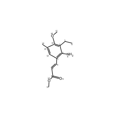 CCc1c(N)c(C=CC(=O)OC)cc(C)c1OC